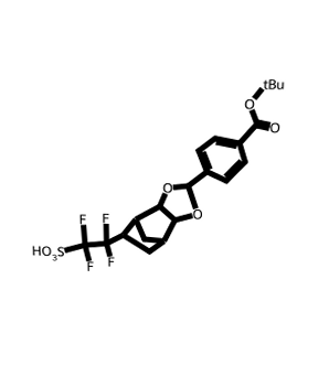 CC(C)(C)OC(=O)c1ccc(C2OC3C4CC(C3O2)C(C(F)(F)C(F)(F)S(=O)(=O)O)C4)cc1